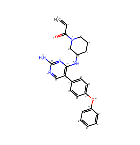 C=CC(=O)N1CCCC(Nc2nc(N)ncc2-c2ccc(Oc3ccccc3)cc2)C1